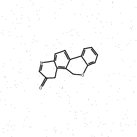 O=C1C=Nc2ccc3c(c2C1)COc1ccccc1-3